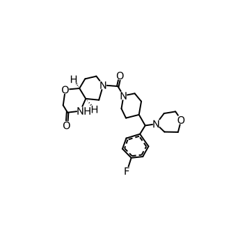 O=C1CO[C@H]2CCN(C(=O)N3CCC(C(c4ccc(F)cc4)N4CCOCC4)CC3)C[C@H]2N1